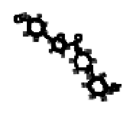 O=C(c1ccc(-c2ccc(Cl)cc2)o1)N1CCN(c2cccc(Br)c2)CC1